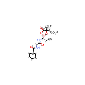 CC(C)C[C@H](NC(=O)CNC(=O)C1CCCCC1)B1OC(=O)C(CC(=O)O)(C(=O)O)O1